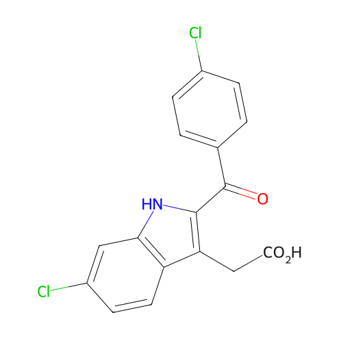 O=C(O)Cc1c(C(=O)c2ccc(Cl)cc2)[nH]c2cc(Cl)ccc12